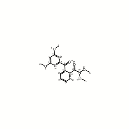 COc1cc(OC)nc(C(=O)c2cccnc2C(=O)N(OC)OC)n1